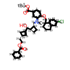 CC(C)(C)OC(=O)c1ccc2c(c1)N(C[C@@H]1CC[C@H]1[C@@H](O)C1=C[C@H](CCOC(=O)c3ccccc3)C1)C[C@@]1(CCCc3cc(Cl)ccc31)CO2